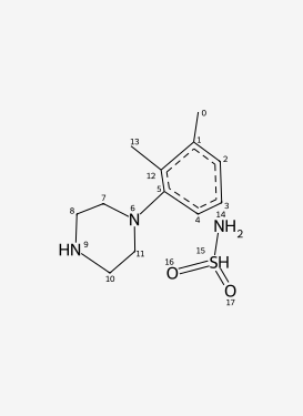 Cc1cccc(N2CCNCC2)c1C.N[SH](=O)=O